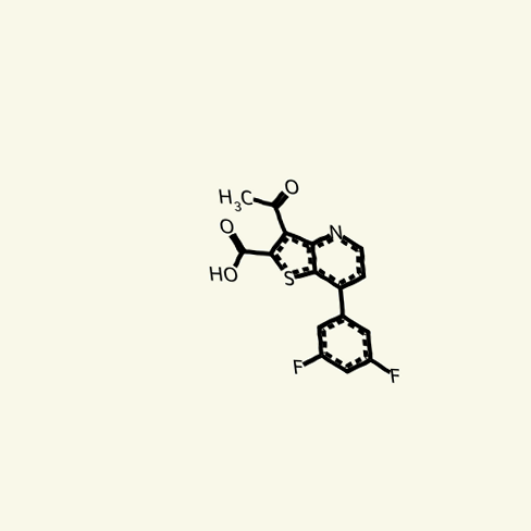 CC(=O)c1c(C(=O)O)sc2c(-c3cc(F)cc(F)c3)ccnc12